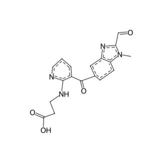 Cn1c(C=O)nc2cc(C(=O)c3cccnc3NCCC(=O)O)ccc21